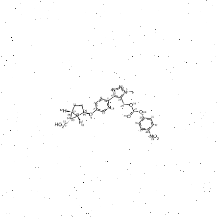 Cn1nnc(-c2ccc(O[C@@H]3CC[C@H]4[C@@H](C(=O)O)[C@H]43)cn2)c1COC(=O)Oc1ccc([N+](=O)[O-])cc1